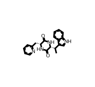 CC(c1c[nH]c2ccccc12)[C@H]1NC(=O)[C@@H](Cc2ccccn2)NC1=O